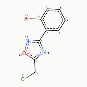 ClCc1nc(-c2ccccc2Br)no1